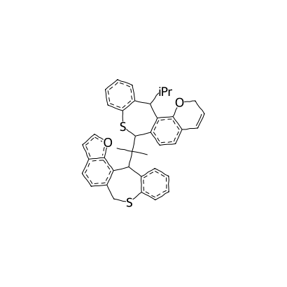 CC(C)C1c2ccccc2SC(C(C)(C)C2c3ccccc3SCc3ccc4ccoc4c32)c2ccc3c(c21)OCC=C3